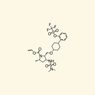 C=COC(=O)N1[C@H](C)C[C@H](NS(=O)(=O)N(C)C)[C@@H]1COC1CCC(c2ccccc2OS(=O)(=O)C(F)(F)F)CC1